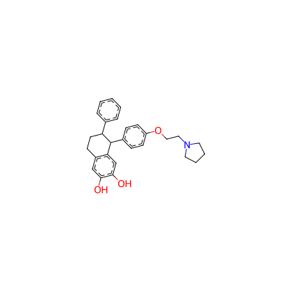 Oc1cc2c(cc1O)C(c1ccc(OCCN3CCCC3)cc1)C(c1ccccc1)CC2